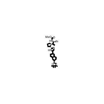 C=C([C@@H](NC(=O)OC)C(C)C)N1CCC[C@H]1c1ncc(-c2ccc3cc(B4OC(C)(C)C(C)(C)O4)ccc3c2)[nH]1